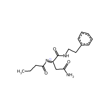 CCCC(=O)/N=C(\CC(N)=O)C(=O)NCCc1ccccc1